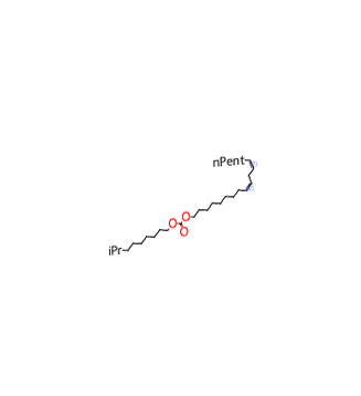 CCCCC/C=C\C/C=C\CCCCCCCCOC(=O)OCCCCCCCC(C)C